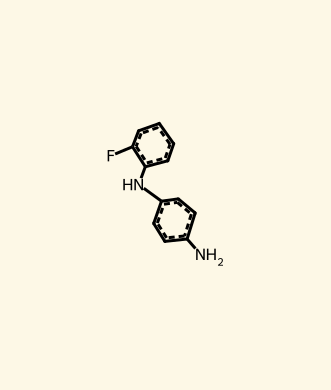 Nc1ccc(Nc2ccccc2F)cc1